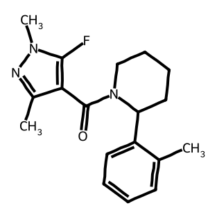 Cc1ccccc1C1CCCCN1C(=O)c1c(C)nn(C)c1F